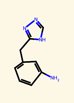 Nc1cccc(Cc2nnc[nH]2)c1